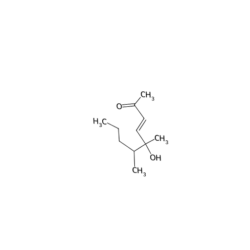 CCCC(C)C(C)(O)C=CC(C)=O